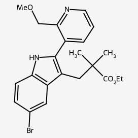 CCOC(=O)C(C)(C)Cc1c(-c2cccnc2COC)[nH]c2ccc(Br)cc12